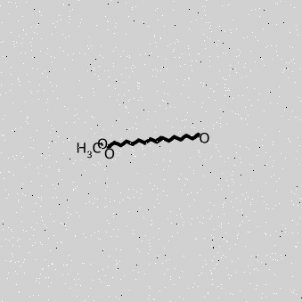 COC(=O)CCCCCCCC=CCCCCCC=O